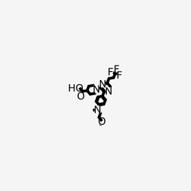 COCCN(C)c1ccc(-c2ncc(CCC(F)(F)F)nc2N2CCC(C(=O)O)CC2)cc1